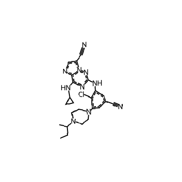 CCC(C)N1CCN(c2cc(C#N)cc(Nc3nc(NC4CC4)c4ncc(C#N)n4n3)c2Cl)CC1